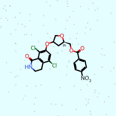 O=C(OC[C@H]1CC(Oc2cc(Cl)c3c(c2Cl)C(=O)NCC3)CO1)c1ccc([N+](=O)[O-])cc1